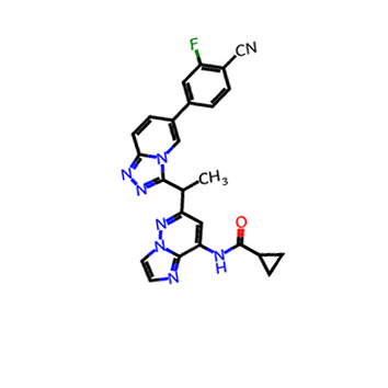 CC(c1cc(NC(=O)C2CC2)c2nccn2n1)c1nnc2ccc(-c3ccc(C#N)c(F)c3)cn12